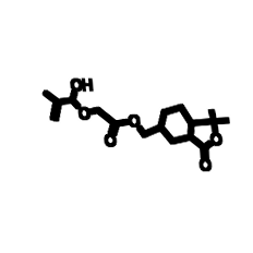 C=C(C)C(O)OCC(=O)OCC1CCC2C(C1)C(=O)OC2(C)C